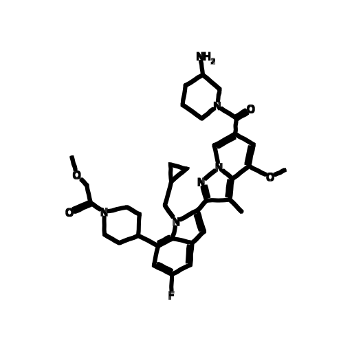 COCC(=O)N1CCC(c2cc(F)cc3cc(-c4nn5cc(C(=O)N6CCCC(N)C6)cc(OC)c5c4C)n(CC4CC4)c23)CC1